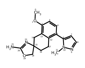 COc1ccc(-c2ccnn2C)c2c1CC1(CC2)COC(N)=N1